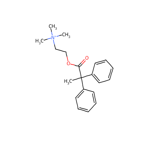 CC(C(=O)OCC[N+](C)(C)C)(c1ccccc1)c1ccccc1